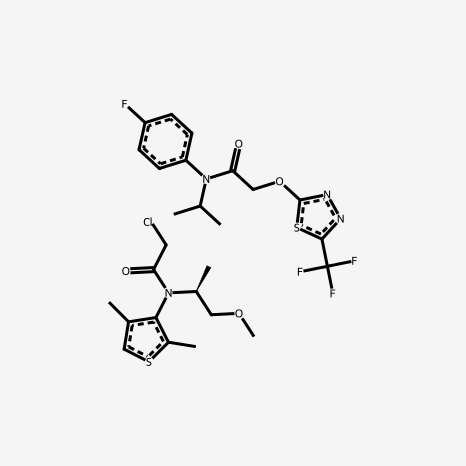 CC(C)N(C(=O)COc1nnc(C(F)(F)F)s1)c1ccc(F)cc1.COC[C@H](C)N(C(=O)CCl)c1c(C)csc1C